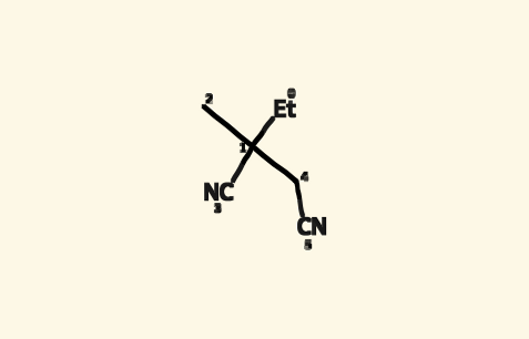 CCC(C)(C#N)CC#N